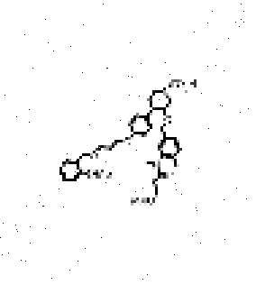 COCCC(=O)N(C)c1cc(COC2CN(C(=O)O)CCC2c2ccc(OCCCOCc3ccccc3OC)cc2)ccc1C